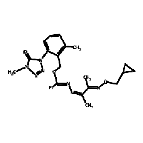 CC\C(=N/N=C(C)\C(C)=N\OCC1CC1)OCc1c(C)cccc1-n1nnn(C)c1=O